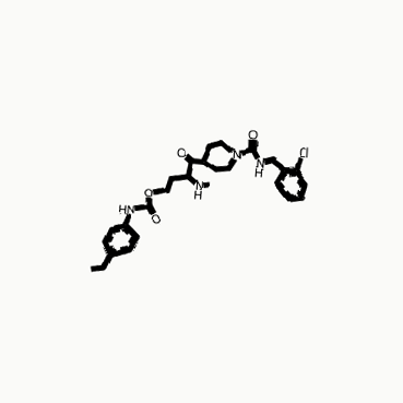 CCc1ccc(NC(=O)OCCC(NC)C(=O)C2CCN(C(=O)NCc3ccccc3Cl)CC2)cc1